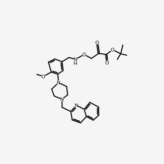 COc1ccc(CNOCC(=O)C(=O)OC(C)(C)C)cc1N1CCN(Cc2ccc3ccccc3n2)CC1